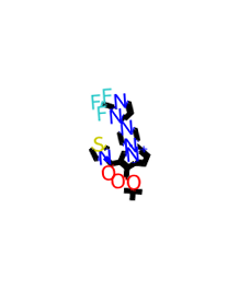 CC(C)(C)OC(=O)C1=C(C(=O)N2CCSC2)C[N@+]2(N3CCN(c4ccnc(C(F)(F)F)n4)CC3)C=CC=C12